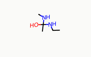 CCNC(C)(O)NC